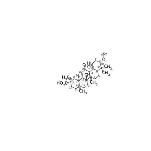 CC(C)O[C@H]1CC[C@@]2(C)C(CC[C@]3(C)C2C(=O)C=C2[C@@H]4C[C@@](C)(C(=O)O)CC[C@]4(C)CC[C@]23C)C1(C)C